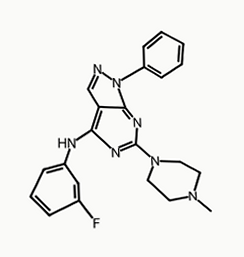 CN1CCN(c2nc(Nc3cccc(F)c3)c3cnn(-c4ccccc4)c3n2)CC1